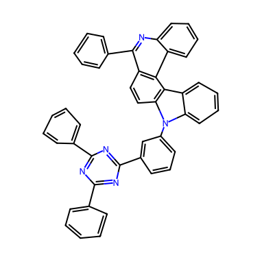 c1ccc(-c2nc(-c3ccccc3)nc(-c3cccc(-n4c5ccccc5c5c6c(ccc54)c(-c4ccccc4)nc4ccccc46)c3)n2)cc1